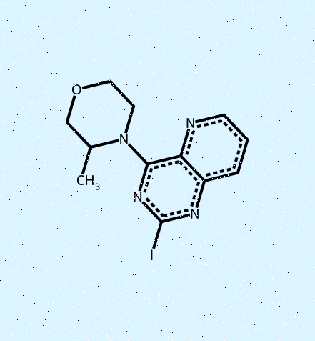 CC1COCCN1c1nc(I)nc2cccnc12